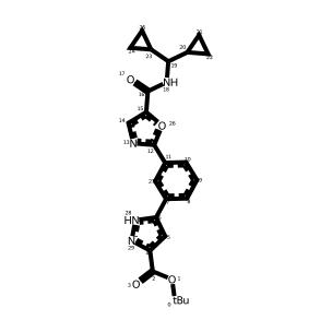 CC(C)(C)OC(=O)c1cc(-c2cccc(-c3ncc(C(=O)NC(C4CC4)C4CC4)o3)c2)[nH]n1